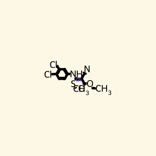 CCOC(=O)/C(C#N)=C(/Nc1ccc(Cl)c(Cl)c1)SC